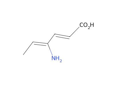 C/C=C(N)/C=C/C(=O)O